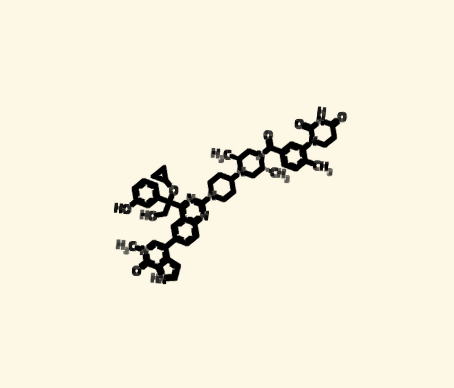 Cc1ccc(C(=O)N2C[C@H](C)N(C3CCN(c4nc(C(CO)(OC5CC5)c5cccc(O)c5)c5cc(-c6cn(C)c(=O)c7[nH]ccc67)ccc5n4)CC3)C[C@H]2C)cc1N1CCC(=O)NC1=O